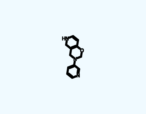 C1=CC2=C(CN1)CN(c1cccnc1)CO2